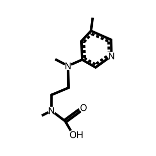 Cc1cncc(N(C)CCN(C)C(=O)O)c1